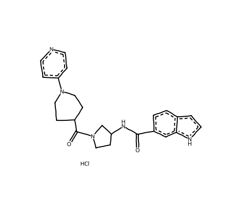 Cl.O=C(NC1CCN(C(=O)C2CCN(c3ccncc3)CC2)C1)c1ccc2cc[nH]c2c1